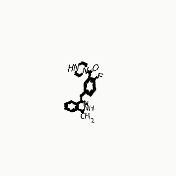 C=C1NN=C(Cc2ccc(F)c(C(=O)N3CCNCC3)c2)c2ccccc21